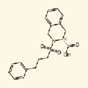 O=C(O)[C@H]1Cc2ccccc2CN1S(=O)(=O)CCCc1ccccc1